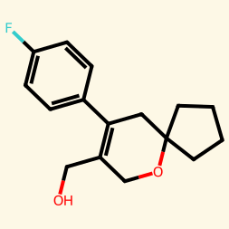 OCC1=C(c2ccc(F)cc2)CC2(CCCC2)OC1